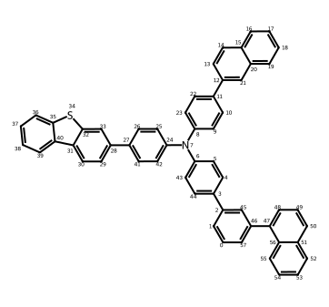 c1cc(-c2ccc(N(c3ccc(-c4ccc5ccccc5c4)cc3)c3ccc(-c4ccc5c(c4)sc4ccccc45)cc3)cc2)cc(-c2cccc3ccccc23)c1